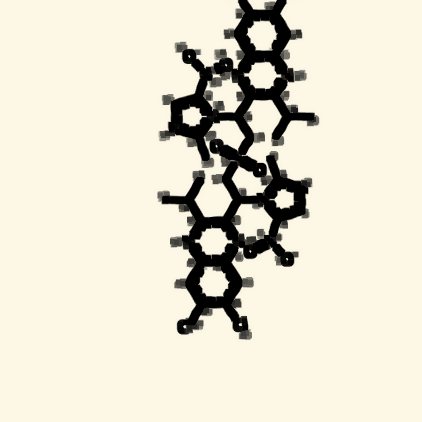 Cc1ncc([N+](=O)[O-])n1C(CS(=O)(=O)CC(c1nc2cc(Cl)c(Cl)cc2nc1C(C)C)n1c([N+](=O)[O-])cnc1C)c1nc2cc(Cl)c(Cl)cc2nc1C(C)C